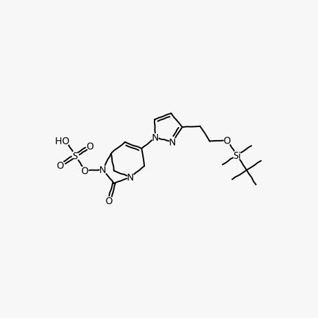 CC(C)(C)[Si](C)(C)OCCc1ccn(C2=CC3CN(C2)C(=O)N3OS(=O)(=O)O)n1